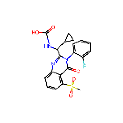 CS(=O)(=O)c1cccc2nc(C(NC(=O)O)C3CC3)n(-c3ccccc3F)c(=O)c12